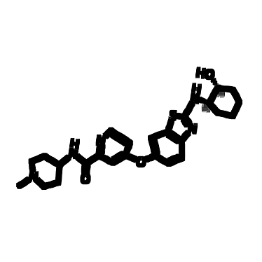 CN1CCC(NC(=O)c2cc(Oc3ccc4nc(N[C@@H]5CCCC[C@H]5O)sc4c3)ccn2)CC1